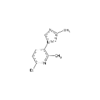 CCc1ccc(-n2cnc(C)c2)c(C)n1